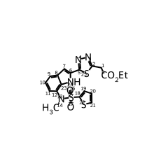 CCOC(=O)Cc1nnc(-c2cc3cccc(N(C)S(=O)(=O)c4cccs4)c3[nH]2)s1